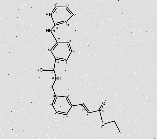 CCOC(=O)/C=C/c1cccc(CNC(=O)c2cccc(Nc3ncccn3)c2)c1